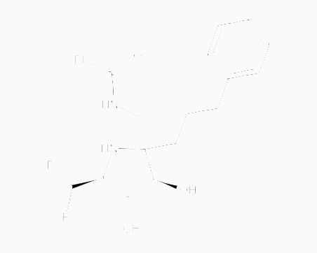 CCC(=O)NC[C@@]1(CCCc2ccccc2)N[C@H](C(F)F)[C@@H](O)[C@@H]1O